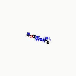 CN1CCC[C@H]1COc1ccc(Nc2ncnc(N3CCN(c4ncc(Cc5ccccc5)c(N)n4)CC3)n2)cc1